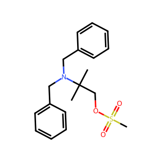 CC(C)(COS(C)(=O)=O)N(Cc1ccccc1)Cc1ccccc1